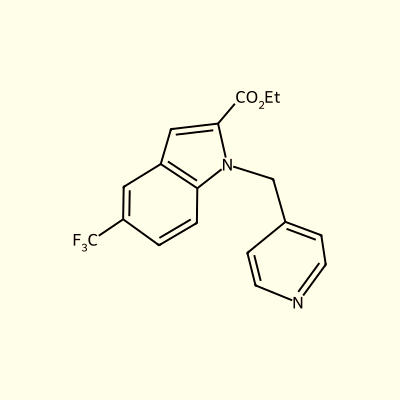 CCOC(=O)c1cc2cc(C(F)(F)F)ccc2n1Cc1ccncc1